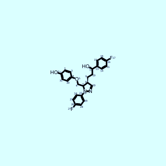 Oc1ccc(OCC2[C@@H](CCC(O)c3ccc(F)cc3)C=NN2c2ccc(F)cc2)cc1